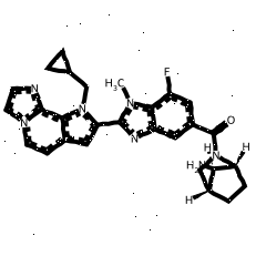 Cn1c(-c2cc3ccn4ccnc4c3n2CC2CC2)nc2cc(C(=O)N3C[C@H]4CC[C@@H]3[C@@H]4N)cc(F)c21